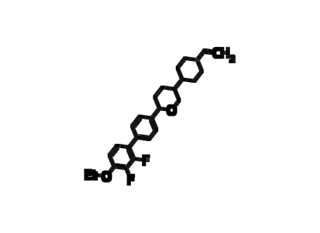 C=CC1CCC(C2CCC(c3ccc(-c4ccc(OCC)c(F)c4F)cc3)OC2)CC1